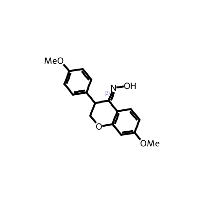 COc1ccc(C2COc3cc(OC)ccc3/C2=N\O)cc1